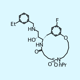 CCCN1CCCCOc2cc(F)cc(c2)C[C@@H]([C@H](O)CNCc2cccc(CC)c2)NC(=O)CCS1(=O)=O